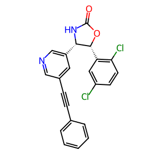 O=C1N[C@@H](c2cncc(C#Cc3ccccc3)c2)[C@@H](c2cc(Cl)ccc2Cl)O1